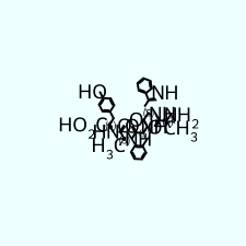 C[C@H](N)C(=O)N[C@@H](Cc1c[nH]c2ccccc12)C(=O)N[C@@H](Cc1ccccc1)C(=O)N[C@@H](C)C(=O)N[C@@H](Cc1ccc(O)cc1)C(=O)O